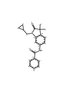 CC1(C)C(=O)N(CC2CC2)c2cc(NC(=O)c3ccncc3)ccc21